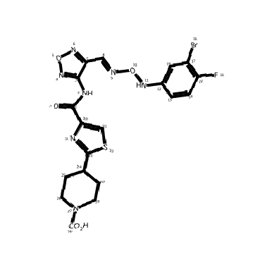 O=C(Nc1nonc1/C=N/ONc1ccc(F)c(Br)c1)c1csc(C2CCN(C(=O)O)CC2)n1